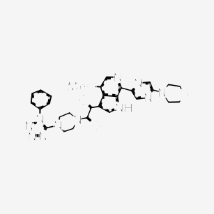 COc1cnc(-c2cnc(N3CCOCC3)cn2)c2[nH]cc(C(=O)C(=O)N3CCN(c4nnnn4-c4ccccc4)CC3)c12